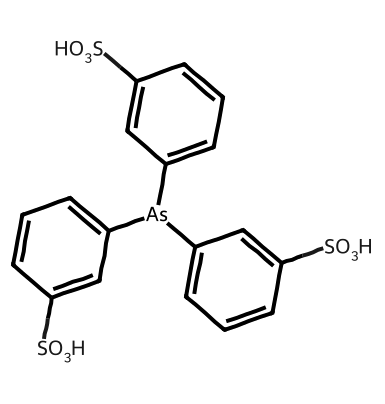 O=S(=O)(O)c1cccc([As](c2cccc(S(=O)(=O)O)c2)c2cccc(S(=O)(=O)O)c2)c1